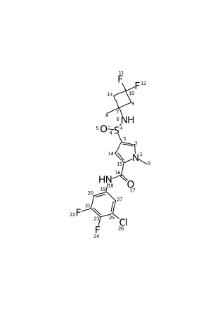 Cn1cc([S+]([O-])NC2(C)CC(F)(F)C2)cc1C(=O)Nc1cc(F)c(F)c(Cl)c1